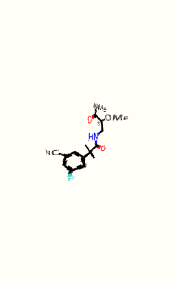 CNC(=O)[C@H](CNC(=O)C(C)(C)c1cc(F)cc(C#N)c1)OC